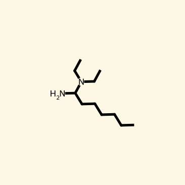 CCCCCCC(N)N(CC)CC